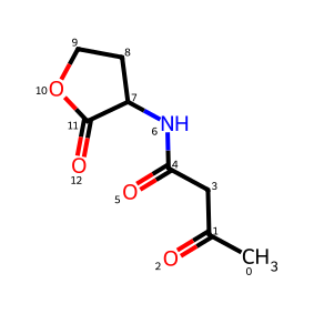 CC(=O)CC(=O)NC1CCOC1=O